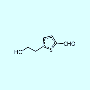 O=Cc1ccc(CCO)s1